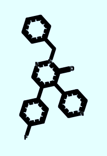 O=c1c(-c2ccncc2)c(-c2ccc(F)cc2)cnn1Cc1ccccc1